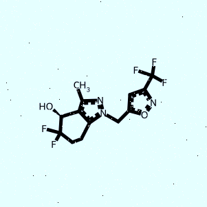 Cc1nn(Cc2cc(C(F)(F)F)no2)c2c1[C@H](O)C(F)(F)CC2